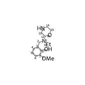 CCN(Cc1cccc(OC)c1O)C1CNCCO1